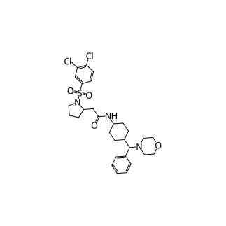 O=C(CC1CCCN1S(=O)(=O)c1ccc(Cl)c(Cl)c1)NC1CCC(C(c2ccccc2)N2CCOCC2)CC1